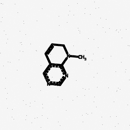 CN1CC=Cc2cncnc21